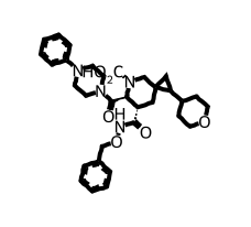 O=C(NOCc1ccccc1)[C@H]1CC2(CC2C2CCOCC2)CN(C(=O)O)[C@@H]1C(=O)N1CCN(c2ccccc2)CC1